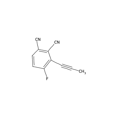 CC#Cc1c(F)ccc(C#N)c1C#N